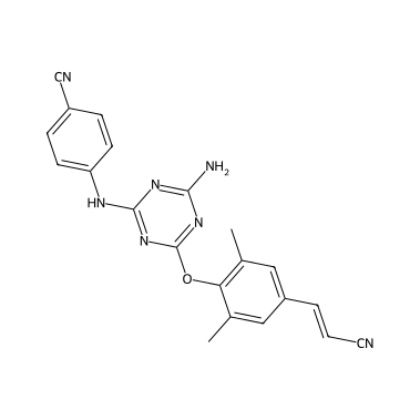 Cc1cc(C=CC#N)cc(C)c1Oc1nc(N)nc(Nc2ccc(C#N)cc2)n1